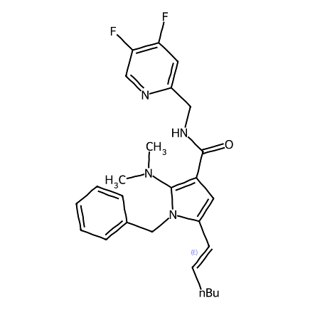 CCCC/C=C/c1cc(C(=O)NCc2cc(F)c(F)cn2)c(N(C)C)n1Cc1ccccc1